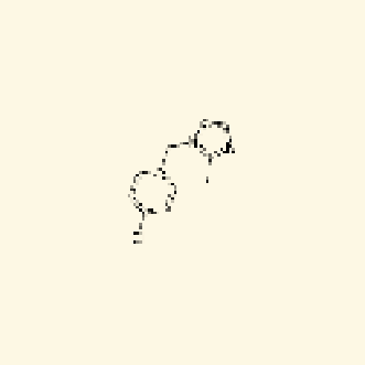 Cc1nccn1Cc1ccc(Cl)cc1